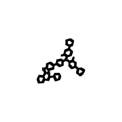 Cc1cc(-c2ccccc2)ccc1N(c1ccc(-c2ccc3nc4c5ccccc5cc(-c5ccccc5)n4c3c2)cc1)c1ccc(-c2ccccc2)cc1C